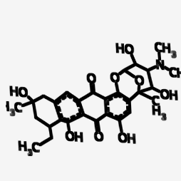 CCC1CC(C)(O)Cc2cc3c(c(O)c21)C(=O)c1c(O)cc2c(c1C3=O)OC1OC2(C)C(O)C(N(C)C)C1O